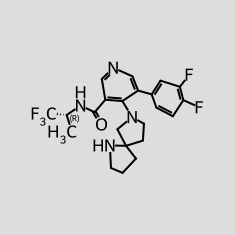 C[C@@H](NC(=O)c1cncc(-c2ccc(F)c(F)c2)c1N1CCC2(CCCN2)C1)C(F)(F)F